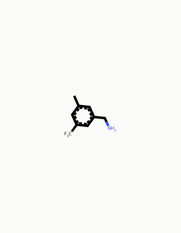 Cc1cc(CN)cc(C(F)(F)F)c1